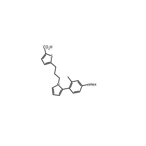 CCCCCCc1ccc(-c2cccn2CCCc2ccc(C(=O)O)s2)c(C)c1